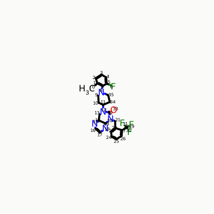 Cc1cccc(F)c1N1CCC(N2Cc3nccnc3N(Cc3ccccc3C(F)(F)F)C2=O)CC1